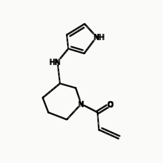 C=CC(=O)N1CCCC(Nc2cc[nH]c2)C1